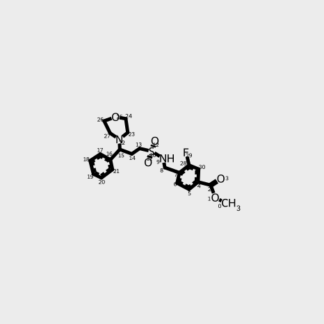 COC(=O)c1ccc(CNS(=O)(=O)CCC(c2ccccc2)N2CCOCC2)c(F)c1